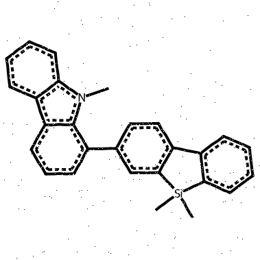 Cn1c2ccccc2c2cccc(-c3ccc4c(c3)[Si](C)(C)c3ccccc3-4)c21